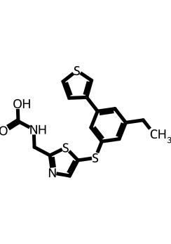 CCc1cc(Sc2cnc(CNC(=O)O)s2)cc(-c2ccsc2)c1